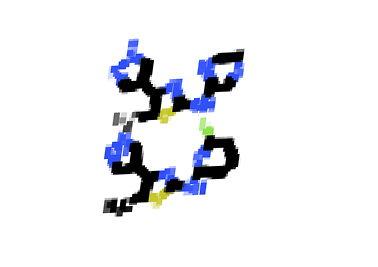 Cc1sc(Nc2cccc(F)n2)nc1-c1cn[nH]c1.Cc1sc(Nc2cnccn2)nc1-c1cn[nH]c1